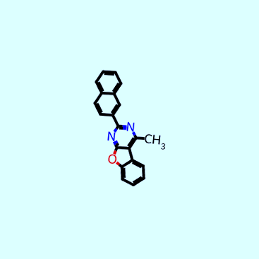 Cc1nc(-c2ccc3ccccc3c2)nc2oc3ccccc3c12